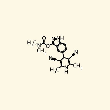 CC1=C(C#N)C(c2ccc3[nH]nc(OC(=O)N(C)C)c3c2)C(C#N)=C(C)N1